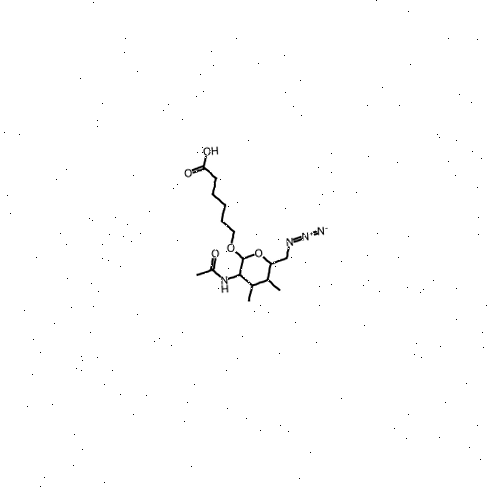 CC(=O)NC1C(OCCCCCC(=O)O)OC(CN=[N+]=[N-])C(C)C1C